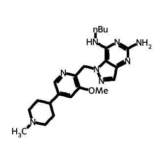 CCCCNc1nc(N)nc2cnn(Cc3ncc(C4CCN(C)CC4)cc3OC)c12